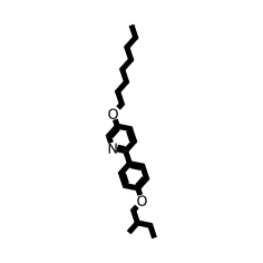 CCCCCCCCOc1ccc(-c2ccc(OCC(C)CC)cc2)nc1